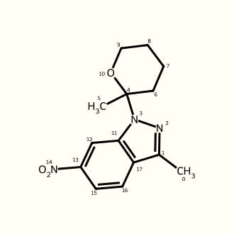 Cc1nn(C2(C)CCCCO2)c2cc([N+](=O)[O-])ccc12